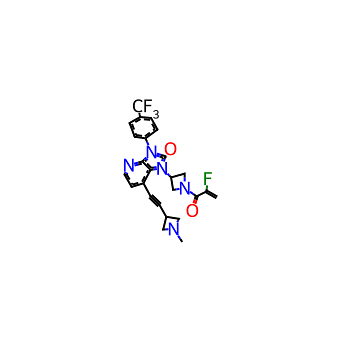 C=C(F)C(=O)N1CC(n2c(=O)n(-c3ccc(C(F)(F)F)cc3)c3nccc(C#CC4CN(C)C4)c32)C1